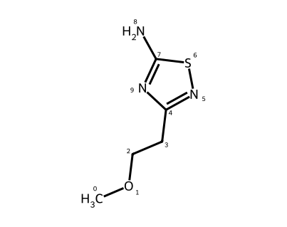 COCCc1nsc(N)n1